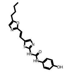 CCCCc1cnc(/C=C/c2cnc(NC(=O)Nc3ccc(O)cc3)s2)o1